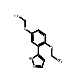 FC(F)(F)COc1ccc(OCC(F)(F)F)c(-c2ccn[nH]2)c1